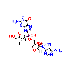 Nc1nc2c(ncn2[C@@H]2OC(CO)[C@@H]3C[C@]32P(O)(=S)OC[C@@]23CO[C@@H]([C@H](n4cnc5c(N)ncnc54)O2)[C@@H]3O)c(=O)[nH]1